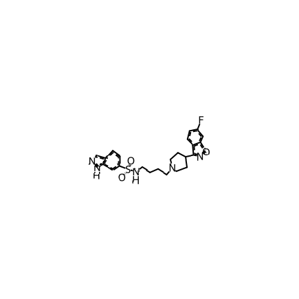 O=S(=O)(NCCCCN1CCC(c2noc3cc(F)ccc23)CC1)c1ccc2cn[nH]c2c1